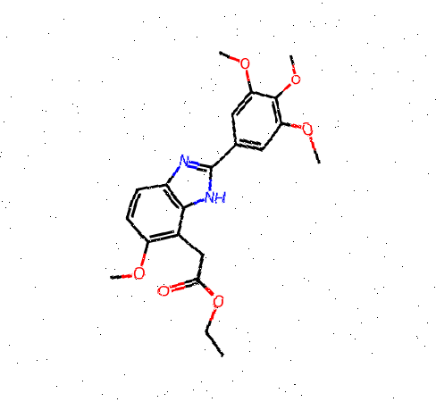 CCOC(=O)Cc1c(OC)ccc2nc(-c3cc(OC)c(OC)c(OC)c3)[nH]c12